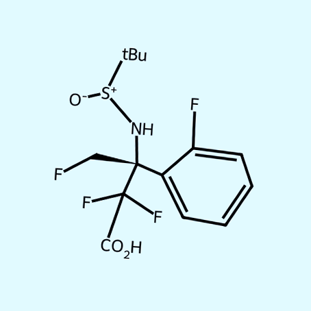 CC(C)(C)[S+]([O-])N[C@](CF)(c1ccccc1F)C(F)(F)C(=O)O